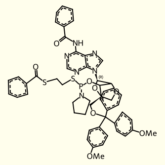 COc1ccc(C(OC[C@]23COC(C2OP(SCCSC(=O)c2ccccc2)N2CCCC2)[C@H](n2cnc4c(NC(=O)c5ccccc5)ncnc42)O3)(c2ccccc2)c2ccc(OC)cc2)cc1